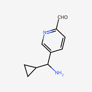 NC(c1ccc(C=O)nc1)C1CC1